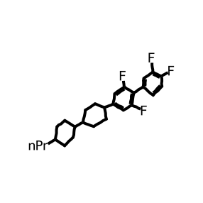 CCCC1CCC(C2CCC(c3cc(F)c(-c4ccc(F)c(F)c4)c(F)c3)CC2)CC1